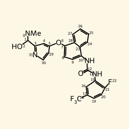 CNC(O)c1cc(Oc2ccc(NC(=O)Nc3cc(C(F)(F)F)ccc3F)c3ccccc23)ccn1